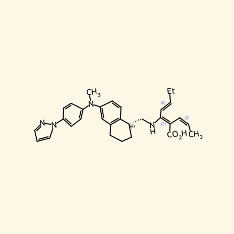 C\C=C/C(C(=O)O)=C(\C=C\CC)NC[C@@H]1CCCc2cc(N(C)c3ccc(-n4cccn4)cc3)ccc21